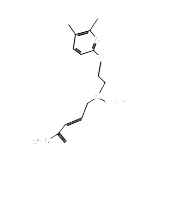 CNC(=O)/C=C/CN(CCOc1ccc(I)c(C)n1)C(=O)O